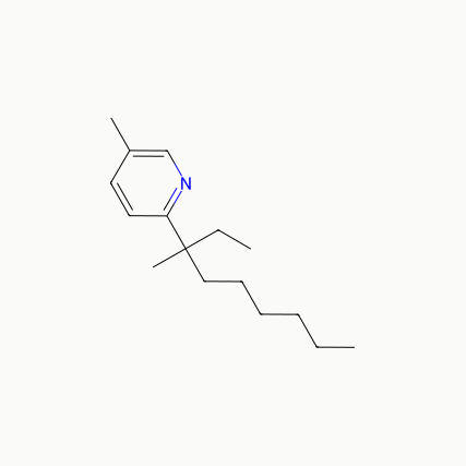 CCCCCCC(C)(CC)c1ccc(C)cn1